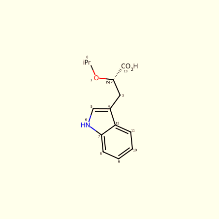 CC(C)O[C@@H](Cc1c[nH]c2ccccc12)C(=O)O